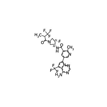 Cc1ncc(-c2cc(C(F)(F)F)c3c(N)ncnn23)cc1C(=O)N[C@@H]1CN(C(=O)C(C)C(F)(F)F)C[C@@H]1F